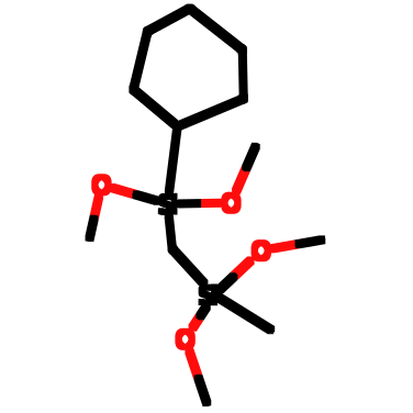 CO[Si](C)(C[Si](OC)(OC)C1CCCCC1)OC